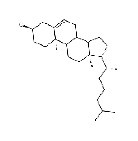 CC(C)CCC[C@@H](C)[C@H]1CCC2C3CC=C4C[C@H]([O])CC[C@]4(C)C3CC[C@@]21C